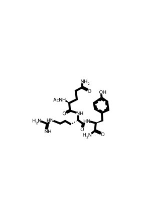 CC(=O)N[C@@H](CCC(N)=O)C(=O)N[C@@H](CCCNC(=N)N)C(=O)N[C@@H](Cc1ccc(O)cc1)C(N)=O